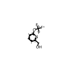 OCc1cccc(OC(F)(F)F)n1